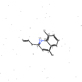 C=CCc1cc(C)c2cccc(C)c2n1